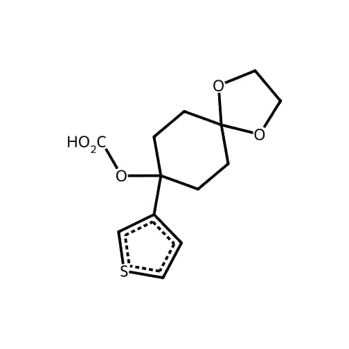 O=C(O)OC1(c2ccsc2)CCC2(CC1)OCCO2